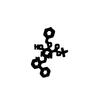 CC(C)(C)OC(=O)c1nc(Cc2ncccc2-c2ccccc2)nc(O)c1OCc1ccccc1